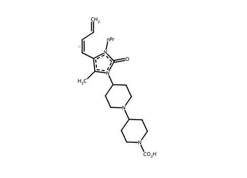 C=C/C=C\c1c(C)n(C2CCN(C3CCN(C(=O)O)CC3)CC2)c(=O)n1CCC